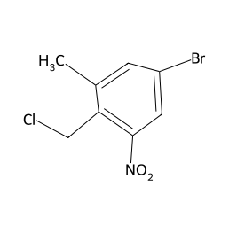 Cc1cc(Br)cc([N+](=O)[O-])c1CCl